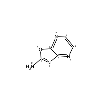 Nc1nc2nccnc2o1